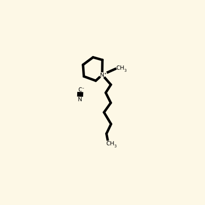 CCCCCCC[N+]1(C)CCCCC1.[C-]#N